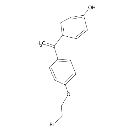 C=C(c1ccc(O)cc1)c1ccc(OCCBr)cc1